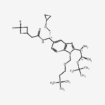 C[C@@H](OC(C)(C)C(F)(F)F)[C@H](N)c1nc2cc([C@@H](COC3CC3)NC(=O)CC3CC(F)(F)C3)ccc2n1COCC[Si](C)(C)C